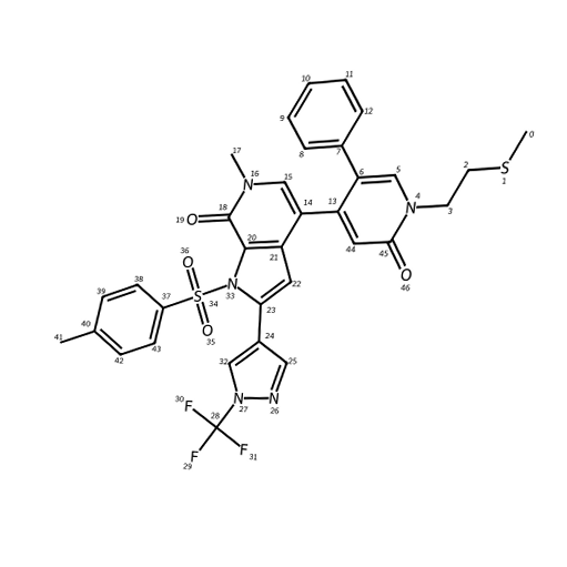 CSCCn1cc(-c2ccccc2)c(-c2cn(C)c(=O)c3c2cc(-c2cnn(C(F)(F)F)c2)n3S(=O)(=O)c2ccc(C)cc2)cc1=O